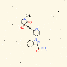 CN1CC[C@@](O)(C#Cc2cc(-n3nc(C(N)=O)c4c3CCCC4)ccn2)C1=O